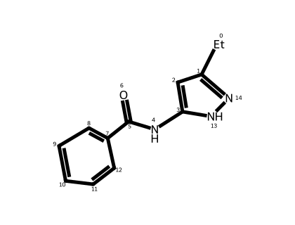 CCc1cc(NC(=O)c2ccccc2)[nH]n1